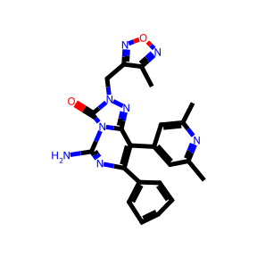 Cc1cc(-c2c(-c3ccccc3)nc(N)n3c(=O)n(Cc4nonc4C)nc23)cc(C)n1